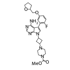 COC(=O)N1CCN(C2CC(n3cc(-c4cc(OCC5CCCO5)ccc4F)c4c(N)ncnc43)C2)CC1